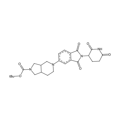 CC(C)(C)OC(=O)N1CC2CCN(c3ccc4c(c3)C(=O)N(C3CCC(=O)NC3=O)C4=O)CC2C1